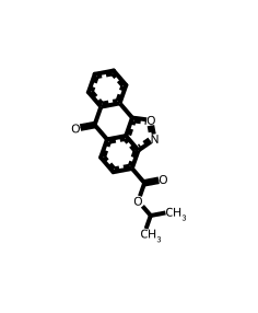 CC(C)OC(=O)c1ccc2c3c(onc13)-c1ccccc1C2=O